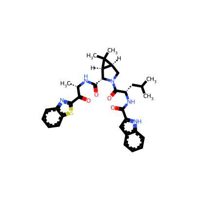 CC(C)C[C@H](NC(=O)c1cc2ccccc2[nH]1)C(=O)N1C[C@H]2[C@@H]([C@H]1C(=O)N[C@@H](C)C(=O)c1nc3ccccc3s1)C2(C)C